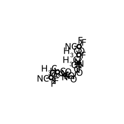 Cc1ccc(Cc2nn(COC(=O)CCC(=O)OCn3nc(Cc4ccc(C)c(Oc5cc(C#N)cc(C(F)F)c5)c4F)n(C)c3=O)c(=O)n2C)c(F)c1Oc1cc(C#N)cc(C(F)F)c1